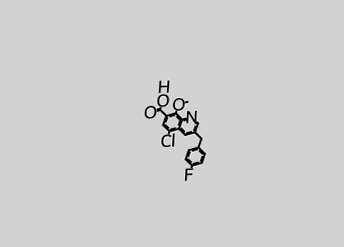 COc1c(C(=O)O)cc(Cl)c2cc(Cc3ccc(F)cc3)cnc12